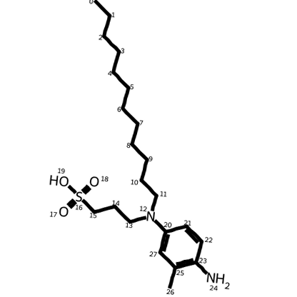 CCCCCCCCCCCCN(CCCS(=O)(=O)O)c1ccc(N)c(C)c1